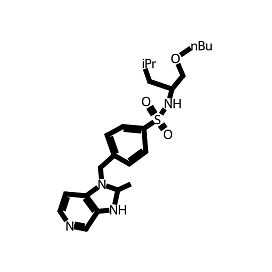 CCCCOCC(CC(C)C)NS(=O)(=O)c1ccc(CN2c3ccncc3NC2C)cc1